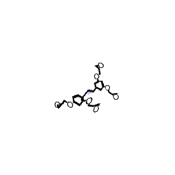 C(=C\c1ccc(OCC2CO2)cc1OCC1CO1)/c1cc(OCC2CO2)cc(OCC2CO2)c1